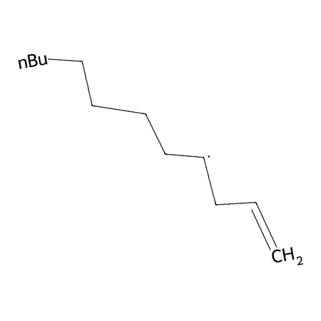 C=CC[CH]CCCCCCCC